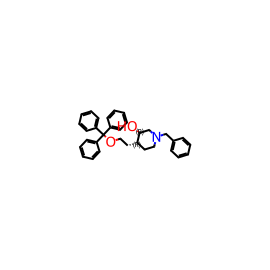 O[C@H]1CN(Cc2ccccc2)CC[C@@H]1CCOC(c1ccccc1)(c1ccccc1)c1ccccc1